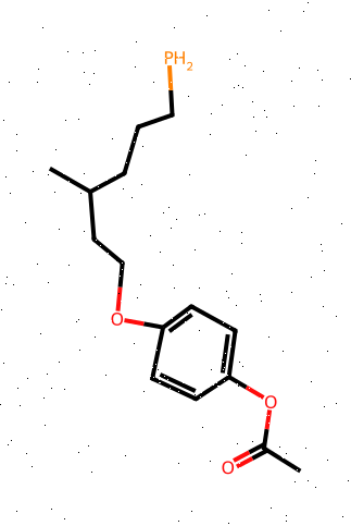 CC(=O)Oc1ccc(OCCC(C)CCCP)cc1